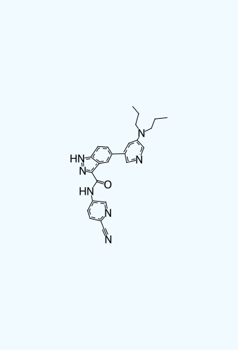 CCCN(CCC)c1cncc(-c2ccc3[nH]nc(C(=O)Nc4ccc(C#N)nc4)c3c2)c1